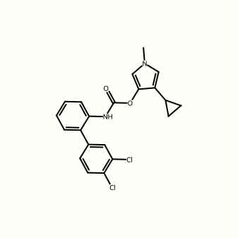 Cn1cc(OC(=O)Nc2ccccc2-c2ccc(Cl)c(Cl)c2)c(C2CC2)c1